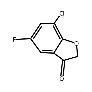 O=C1COc2c(Cl)cc(F)cc21